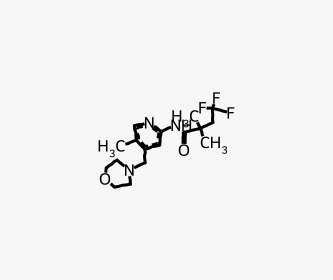 Cc1cnc(NC(=O)C(C)(C)CC(F)(F)F)cc1CN1CCOCC1